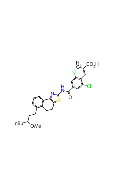 CCCCC(CCc1cccc2c1CCc1sc(NC(=O)c3cc(Cl)c(C=C(C)C(=O)O)c(Cl)c3)nc1-2)OC